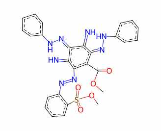 COC(=O)c1c(/N=N/c2ccccc2S(=O)(=O)OC)c(=N)/c(=N\Nc2ccccc2)c(=N)/c1=N\Nc1ccccc1